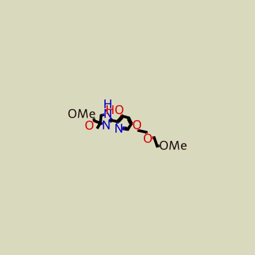 COCCOCCOc1cnc(C2=NC(C)(C(=O)OC)CN2)c(O)c1